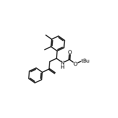 C=C(CC(NC(=O)OC(C)(C)C)c1cccc(C)c1C)c1ccccc1